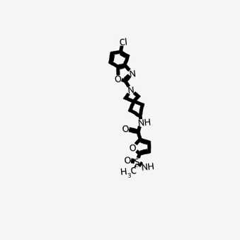 C[S@](=N)(=O)c1ccc(C(=O)NC2CC3(C2)CN(c2nc4cc(Cl)ccc4o2)C3)o1